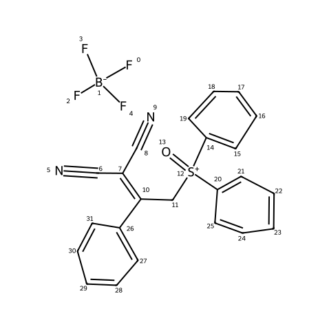 F[B-](F)(F)F.N#CC(C#N)=C(C[S+](=O)(c1ccccc1)c1ccccc1)c1ccccc1